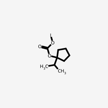 CC(C)C1(OC(=O)OI)CCCC1